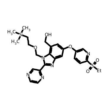 CCS(=O)(=O)c1ccc(Oc2cc(CO)c3c(c2)nc(-c2cnccn2)n3COCC[Si](C)(C)C)cn1